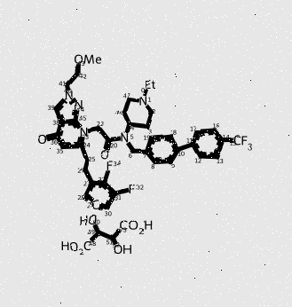 CCN1CCC(N(Cc2ccc(-c3ccc(C(F)(F)F)cc3)cc2)C(=O)Cn2c(CCc3cccc(F)c3F)cc(=O)c3cn(CCOC)nc32)CC1.O=C(O)C(O)C(O)C(=O)O